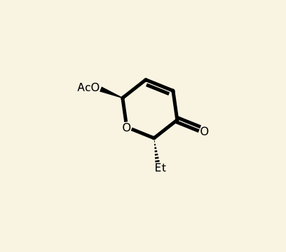 CC[C@@H]1O[C@@H](OC(C)=O)C=CC1=O